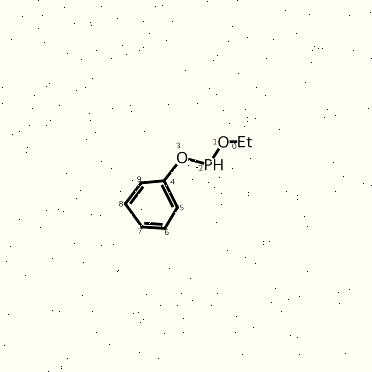 CCOPOc1ccccc1